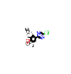 Cc1cc(-c2cnc(Cl)cn2)ccc1OC(F)(F)F